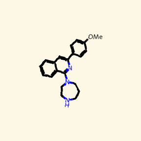 COc1ccc(-c2cc3ccccc3c(N3CCCNCC3)n2)cc1